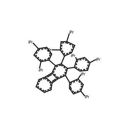 CC(C)c1ccc(-c2c(-c3ccc(C(C)C)cc3C(C)C)c(-c3ccc(C(C)C)cc3C(C)C)c3c(c2-c2ccc(C(C)C)cc2C(C)C)=c2ccccc2=3)c(C(C)C)c1